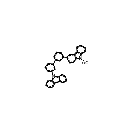 CC(=O)n1c2ccccc2c2cc(-c3cccc(-c4cccc(-n5c6ccccc6c6ccccc65)c4)c3)ccc21